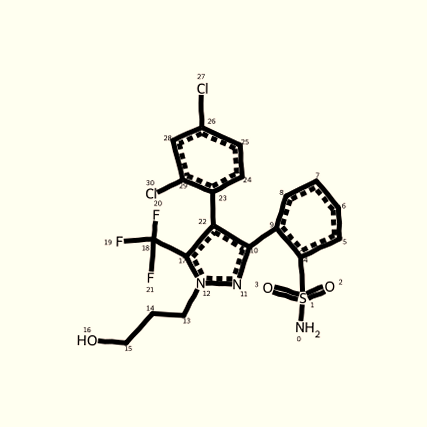 NS(=O)(=O)c1ccccc1-c1nn(CCCO)c(C(F)(F)F)c1-c1ccc(Cl)cc1Cl